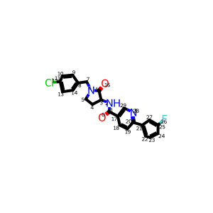 O=C(NC1CCN(Cc2ccc(Cl)cc2)C1=O)c1ccc(-c2cccc(F)c2)nc1